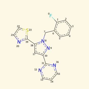 Fc1ccccc1Cn1nc(-c2ncccn2)cc1-c1nccs1